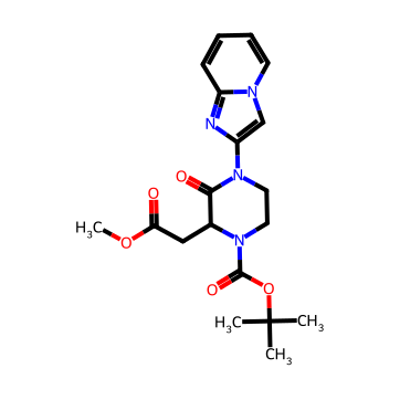 COC(=O)CC1C(=O)N(c2cn3ccccc3n2)CCN1C(=O)OC(C)(C)C